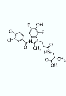 Cc1c(CCC(=O)NC[C@H](C)C(=O)O)c2c(F)c(O)c(F)cc2n1C(=O)c1ccc(Cl)c(Cl)c1